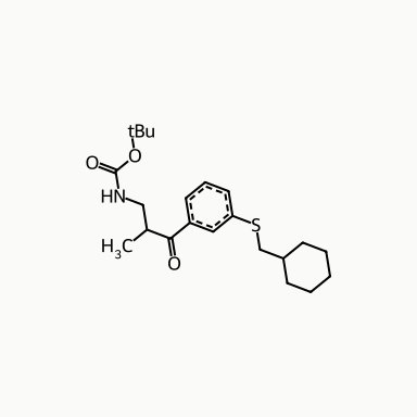 CC(CNC(=O)OC(C)(C)C)C(=O)c1cccc(SCC2CCCCC2)c1